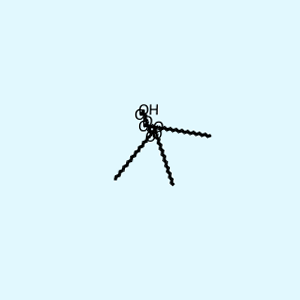 CCCCCCCCCCCCCCCCCCOc1cc(C(=O)OCCC(=O)O)cc(OCCCCCCCCCCCCCCCCCC)c1OCCCCCCCCCCCCCCCCCC